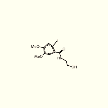 COc1cc(I)c(C(=O)NCCO)cc1OC